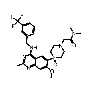 COc1cc2nc(C)nc(NCc3cccc(C(F)(F)F)c3)c2cc1P1(=O)CCN(CC(=O)N(C)C)CC1